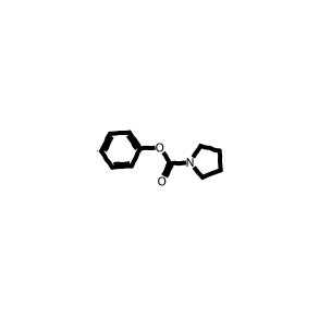 O=C(Oc1cc[c]cc1)N1CCCC1